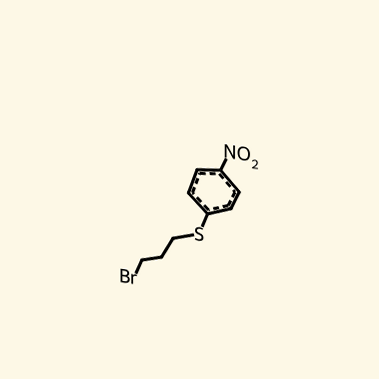 O=[N+]([O-])c1ccc(SCCCBr)cc1